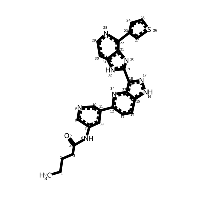 CCCCC(=O)Nc1cncc(-c2ccc3[nH]nc(-c4nc5c(-c6ccsc6)nccc5[nH]4)c3n2)c1